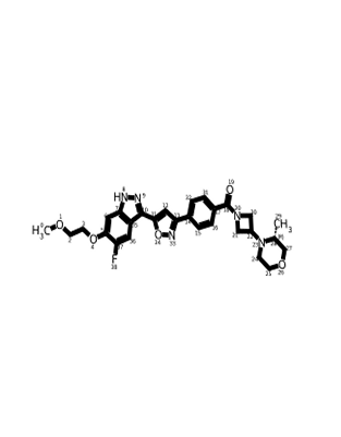 COCCOc1cc2[nH]nc(-c3cc(-c4ccc(C(=O)N5CC(N6CCOC[C@H]6C)C5)cc4)no3)c2cc1F